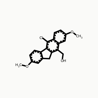 COc1ccc2c(c1)Cc1c-2c(Cl)c2ccc(OC)cc2c1CO